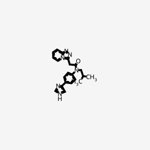 CC(C)CN(C(=O)Cc1nnc2ccccn12)c1ccc(-c2c[nH]cn2)cc1